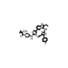 CCc1nc2ccc(-c3cnc(NC4CCN(C(=O)C5(O)CC5)CC4)nc3)cn2c1N(C)c1nc(-c2ccc(F)cc2)c(C#N)s1